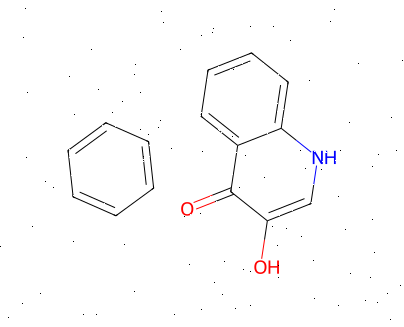 O=c1c(O)c[nH]c2ccccc12.c1ccccc1